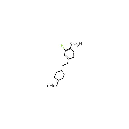 CCCCCC[C@H]1CC[C@H](CCc2ccc(C(=O)O)c(F)c2)CC1